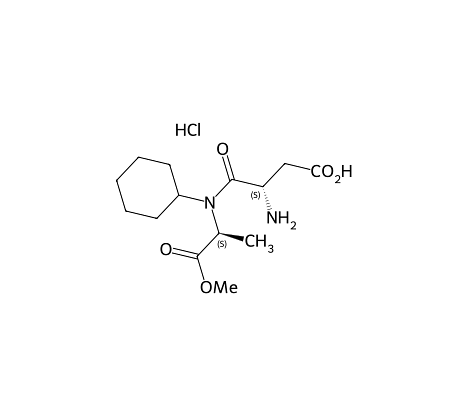 COC(=O)[C@H](C)N(C(=O)[C@@H](N)CC(=O)O)C1CCCCC1.Cl